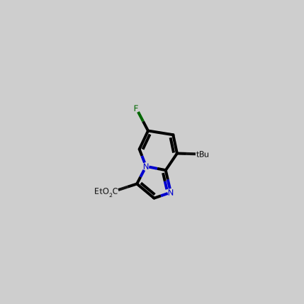 CCOC(=O)c1cnc2c(C(C)(C)C)cc(F)cn12